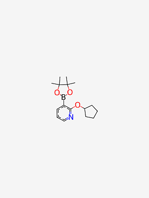 CC1(C)OB(c2cccnc2OC2CCCC2)OC1(C)C